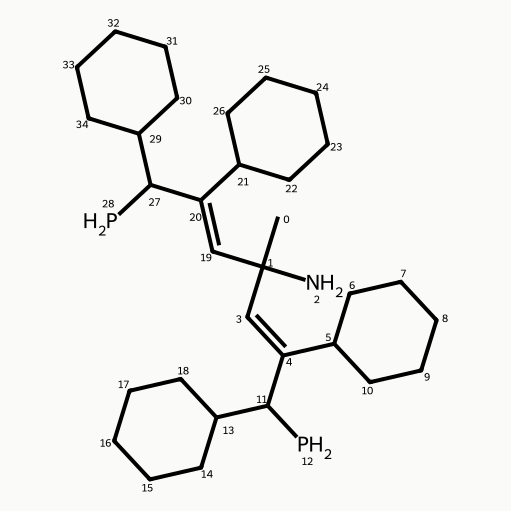 CC(N)(/C=C(\C1CCCCC1)C(P)C1CCCCC1)/C=C(\C1CCCCC1)C(P)C1CCCCC1